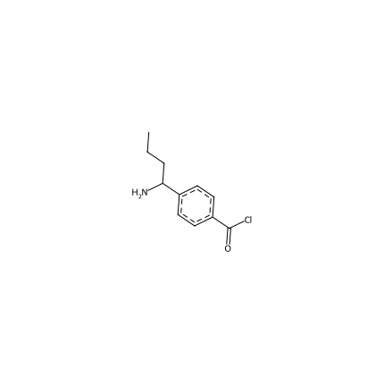 CCCC(N)c1ccc(C(=O)Cl)cc1